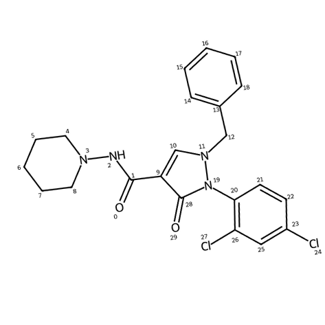 O=C(NN1CCCCC1)c1cn(Cc2ccccc2)n(-c2ccc(Cl)cc2Cl)c1=O